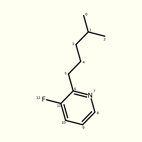 CC(C)CCCc1ncccc1F